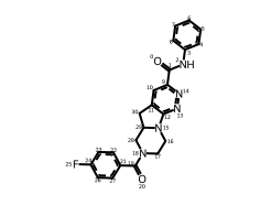 O=C(Nc1ccccc1)c1cc2c(nn1)N1CCN(C(=O)c3ccc(F)cc3)CC1C2